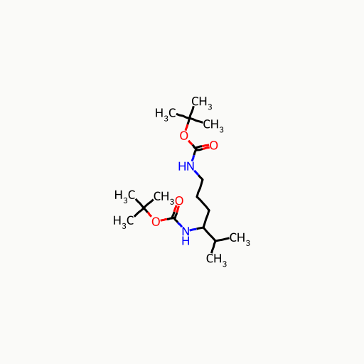 CC(C)C(CCCNC(=O)OC(C)(C)C)NC(=O)OC(C)(C)C